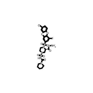 NOC(=O)[C@H]1CN(S(=O)(=O)NC(=O)N2CCCCC2)CCN1S(=O)(=O)c1cc(F)c(Oc2ccc(Cl)cc2)c(F)c1